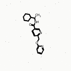 C[C@@H](NC(=O)c1ccc(COc2ccccn2)nc1)C1CCCCC1